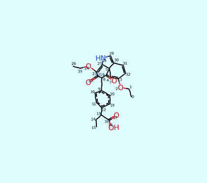 CCOC1=CC23C(=O)C(c4ccc(C(CC)C(=O)O)cc4)C(=O)C(OCC)=C2NC=C3C=C1